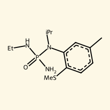 CCNP(N)(=O)N(c1cc(C)ccc1SC)C(C)C